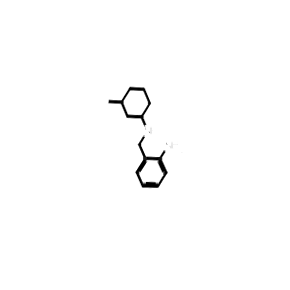 CC1CCCC(NCc2ccccc2N)C1